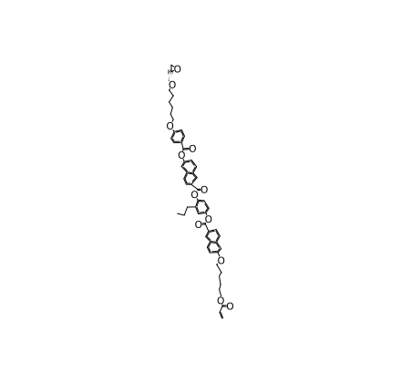 C=CC(=O)OCCCCCCOc1ccc2cc(C(=O)Oc3ccc(OC(=O)c4ccc5cc(OC(=O)c6ccc(OCCCCCCOC[C@@H]7CO7)cc6)ccc5c4)c(CCC)c3)ccc2c1